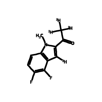 [2H]c1c(C(=O)C([2H])([2H])[2H])n(C)c2ccc(F)c(F)c12